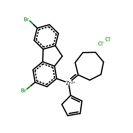 Brc1ccc2c(c1)-c1cc(Br)c[c]([Zr+2]([C]3=CC=CC3)=[C]3CCCCCC3)c1C2.[Cl-].[Cl-]